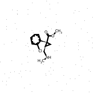 CNC[C@@H]1C[C@]1(C(=O)OC)c1ccccc1Cl